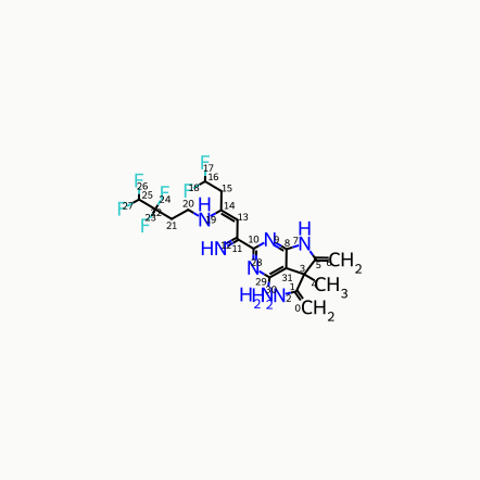 C=C(N)C1(C)C(=C)Nc2nc(C(=N)/C=C(/CC(F)F)NCCC(F)(F)C(F)F)nc(N)c21